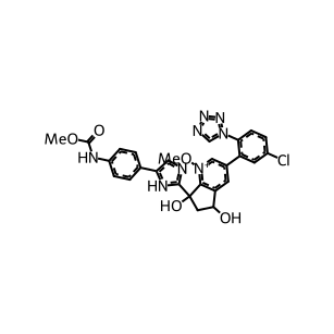 COC(=O)Nc1ccc(-c2cnc(C3(O)CC(O)c4cc(-c5cc(Cl)ccc5-n5cnnn5)c[n+](OC)c43)[nH]2)cc1